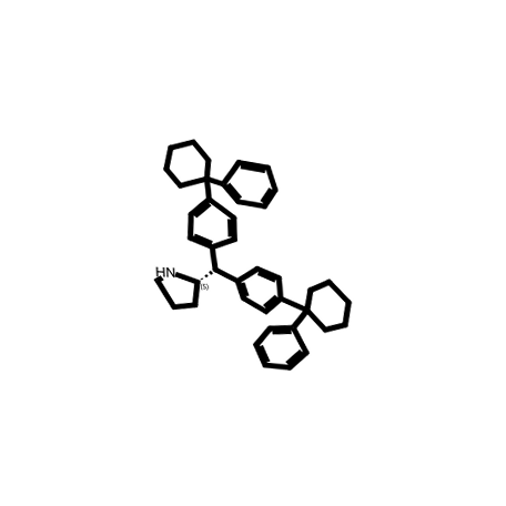 c1ccc(C2(c3ccc(C(c4ccc(C5(c6ccccc6)CCCCC5)cc4)[C@@H]4CCCN4)cc3)CCCCC2)cc1